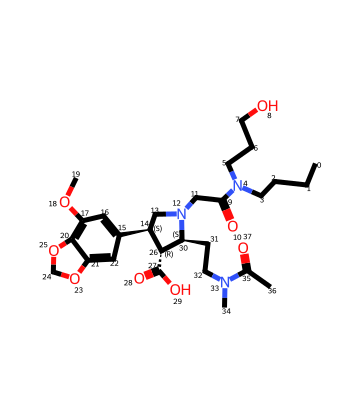 CCCCN(CCCO)C(=O)CN1C[C@H](c2cc(OC)c3c(c2)OCO3)[C@@H](C(=O)O)[C@@H]1CCN(C)C(C)=O